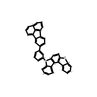 c1cc(-c2ccc3c(c2)-c2cccc4cccc-3c24)cc(-n2c3ccccc3c3c4c(ccc32)oc2ccccc24)c1